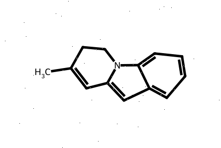 CC1=Cc2cc3ccccc3n2CC1